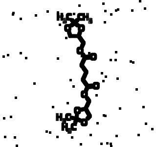 CC1(C)OCC(COC(=O)CCCC(=O)OCC2COC(C)(C)O2)O1